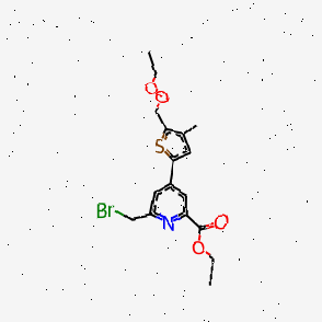 CCOOCc1sc(-c2cc(CBr)nc(C(=O)OCC)c2)cc1C